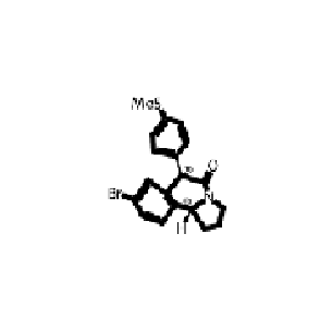 CSc1ccc([C@H]2C(=O)N3CCC[C@@H]3c3ccc(Br)cc32)cc1